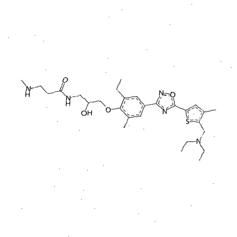 CCc1cc(-c2noc(-c3cc(C)c(CN(CC)CC)s3)n2)cc(C)c1OCC(O)CNC(=O)CCNC